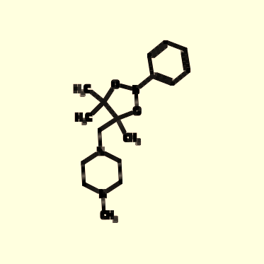 CN1CCN(CC2(C)OB(c3ccccc3)OC2(C)C)CC1